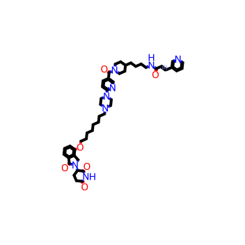 O=C(/C=C/c1cccnc1)NCCCCC1CCN(C(=O)c2ccc(N3CCN(CCCCCCCCOc4cccc5c4CN(C4CCC(=O)NC4=O)C5=O)CC3)nc2)CC1